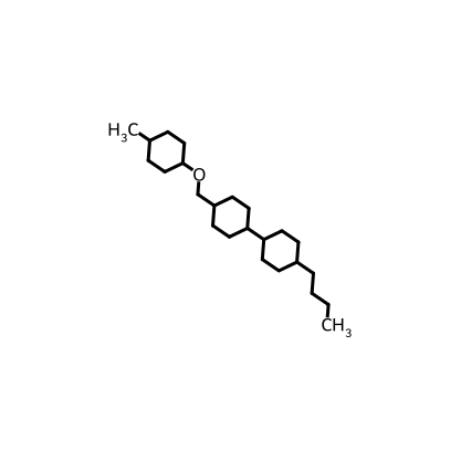 CCCCC1CCC(C2CCC(COC3CCC(C)CC3)CC2)CC1